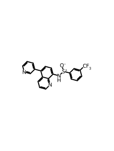 [O-][S+](Nc1ccc(-c2cccnc2)c2cccnc12)c1cccc(C(F)(F)F)c1